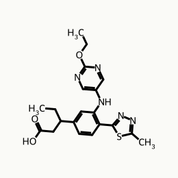 CCOc1ncc(Nc2cc(C(CC)CC(=O)O)ccc2-c2nnc(C)s2)cn1